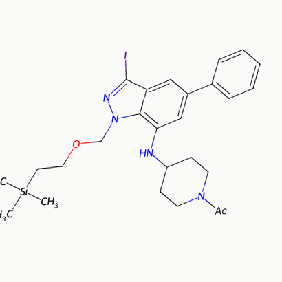 CC(=O)N1CCC(Nc2cc(-c3ccccc3)cc3c(I)nn(COCC[Si](C)(C)C)c23)CC1